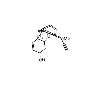 C#CCN1CCC23C=C[C@@H](O)C[C@@H]2Oc2c(OC)ccc(c23)C1